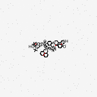 COc1ccc(Cn2nnnc2-c2c(N3CCC(c4c[nH]cn4)CC3)ccc(S(=O)(=O)NC[C@@H](CN(C(=O)O)C(C)(C)C)O[Si](C)(C)C(C)(C)C)c2S(=O)(=O)N(Cc2ccccc2)Cc2ccccc2)cc1